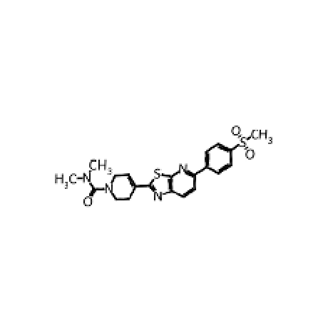 CN(C)C(=O)N1CC=C(c2nc3ccc(-c4ccc(S(C)(=O)=O)cc4)nc3s2)CC1